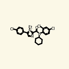 CCn1c(-c2ccc(Cl)cc2)cnc1C(=O)N(c1ccc(Cl)cc1Cl)C1CCCCC1